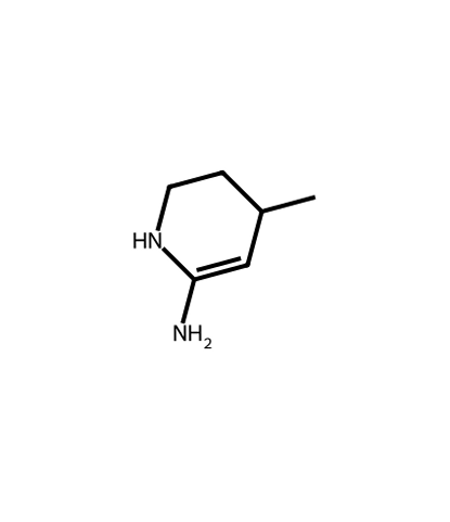 CC1C=C(N)NCC1